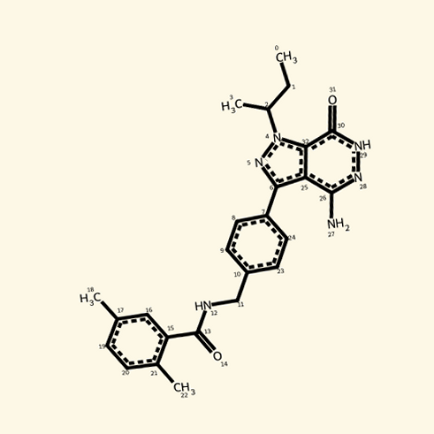 CCC(C)n1nc(-c2ccc(CNC(=O)c3cc(C)ccc3C)cc2)c2c(N)n[nH]c(=O)c21